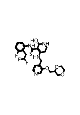 OC1NCCC(NCc2ccncc2OCC2COCCO2)=C1C(=S)Nc1cccc(F)c1CC(F)F